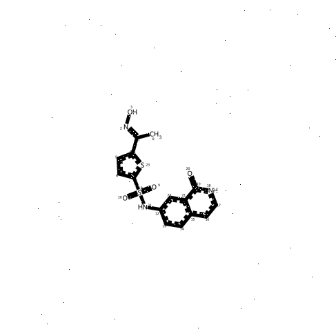 CC(=NO)c1ccc(S(=O)(=O)Nc2ccc3cc[nH]c(=O)c3c2)s1